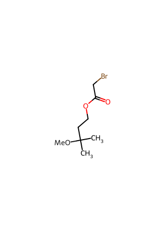 COC(C)(C)CCOC(=O)CBr